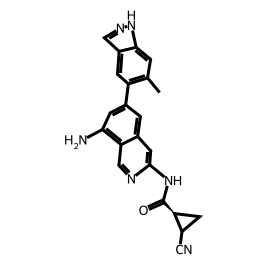 Cc1cc2[nH]ncc2cc1-c1cc(N)c2cnc(NC(=O)[C@H]3CC3C#N)cc2c1